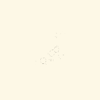 CC[C@@H](N)c1cnc(OC2CN(C(=O)[C@@H]3C[C@@H]3F)C2)c2cnc(Nc3ccc4c(n3)[C@@H](C)C(C)(C)OC4=O)cc12